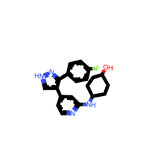 OC1CCC(Nc2cc(-c3c[nH]nc3-c3ccc(F)cc3)ccn2)CC1